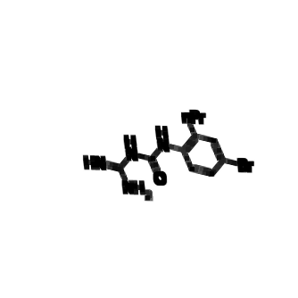 CCCc1cc(Br)ccc1NC(=O)NC(=N)N